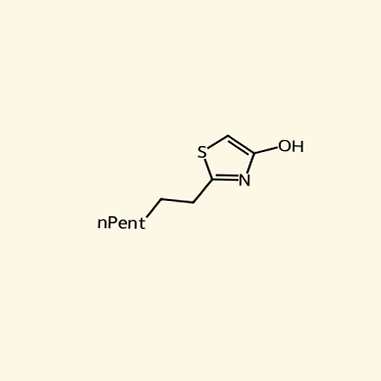 CCCCCCCc1nc(O)cs1